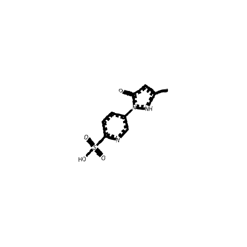 Cc1cc(=O)n(-c2ccc(S(=O)(=O)O)nc2)[nH]1